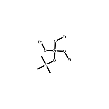 CC[O][Zr]([O]CC)([O]CC)[O][Si](C)(C)C